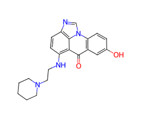 O=c1c2cc(O)ccc2n2cnc3ccc(NCCN4CCCCC4)c1c32